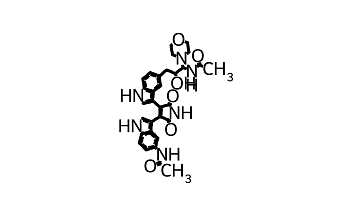 CC(=O)Nc1ccc2[nH]cc(C3=C(c4c[nH]c5ccc(CC(O)C(NC(C)=O)N6CCOCC6)cc45)C(=O)NC3=O)c2c1